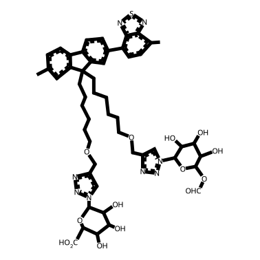 Cc1ccc2c(c1)C(CCCCCCOCc1cn(C3OC(OC=O)C(O)C(O)C3O)nn1)(CCCCCCOCc1cn(C3OC(C(=O)O)C(O)C(O)C3O)nn1)c1cc(-c3ccc(C)c4nsnc34)ccc1-2